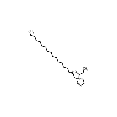 CCCCCCCCCCCCCCCC=CC[N+]1(C(O)CC)C=NCC1